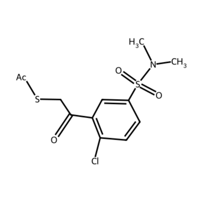 CC(=O)SCC(=O)c1cc(S(=O)(=O)N(C)C)ccc1Cl